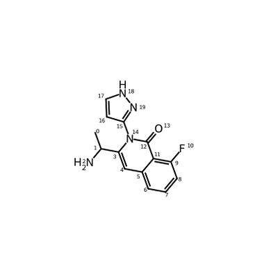 CC(N)c1cc2cccc(F)c2c(=O)n1-c1cc[nH]n1